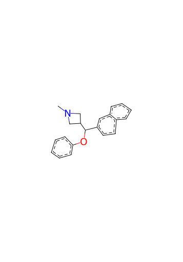 CN1CC(C(Oc2ccccc2)c2ccc3ccccc3c2)C1